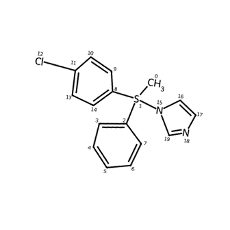 CS(c1ccccc1)(c1ccc(Cl)cc1)n1ccnc1